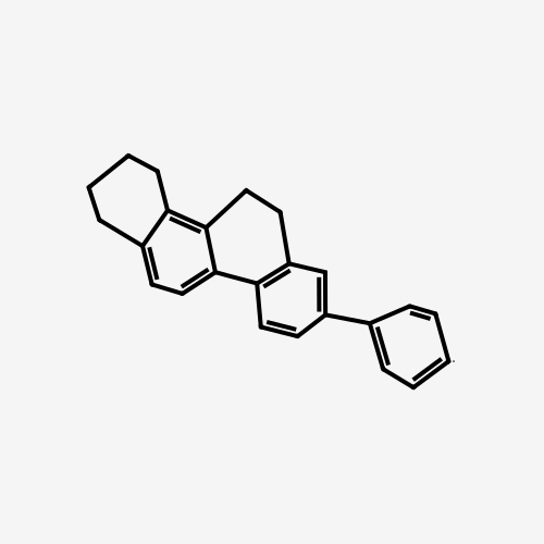 [c]1ccc(-c2ccc3c(c2)CCc2c-3ccc3c2CCCC3)cc1